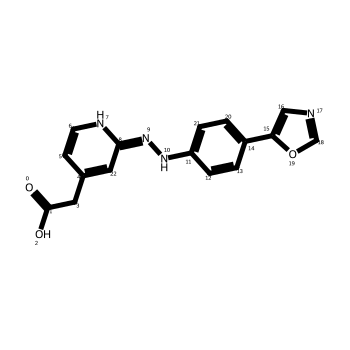 O=C(O)Cc1cc[nH]c(=NNc2ccc(-c3cnco3)cc2)c1